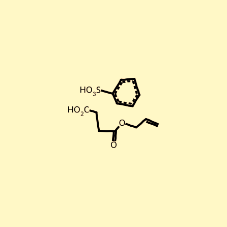 C=CCOC(=O)CCC(=O)O.O=S(=O)(O)c1ccccc1